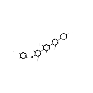 CCCCCC1CCC(c2ccc(-c3cc(F)c(-c4cc(F)c(C(F)(F)Oc5ccc(C#N)c(F)c5)c(F)c4)c(F)c3)c(F)c2)CC1